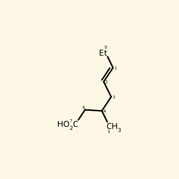 CCC=CCC(C)CC(=O)O